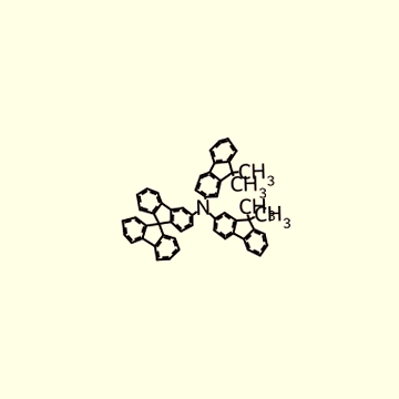 CC1(C)c2ccccc2-c2ccc(N(c3ccc4c(c3)-c3ccccc3C43c4ccccc4-c4ccccc43)c3ccc4c(c3)C(C)(C)c3ccccc3-4)cc21